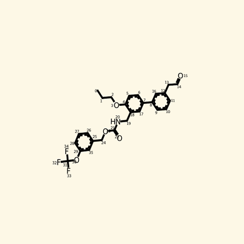 CCCOc1ccc(-c2cccc(CC=O)c2)cc1CNC(=O)OCc1cccc(OC(F)(F)F)c1